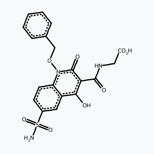 NS(=O)(=O)c1ccc2c(c1)c(O)c(C(=O)NCC(=O)O)c(=O)n2OCc1ccccc1